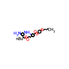 C=CCCCOC1CCC(OC(=O)c2ccc(/C=C/C(=O)OCC(CCCC)c3cc(N)cc(N)c3)cc2)CC1